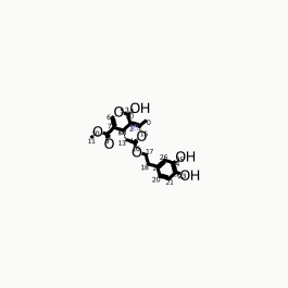 C/C=C1\[C@H](O)OC=C(C(=O)OC)[C@H]1CC(=O)OCCc1ccc(O)c(O)c1